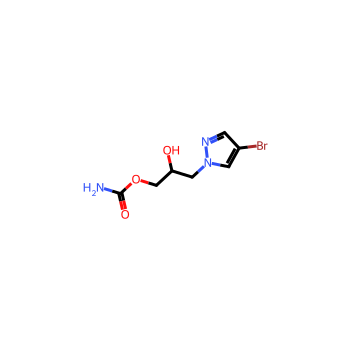 NC(=O)OCC(O)Cn1cc(Br)cn1